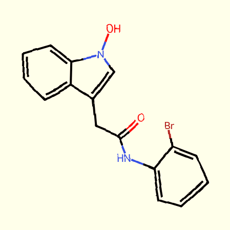 O=C(Cc1cn(O)c2ccccc12)Nc1ccccc1Br